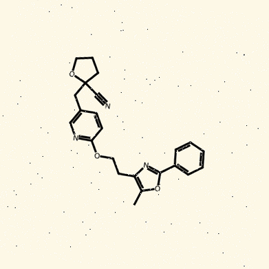 Cc1oc(-c2ccccc2)nc1CCOc1ccc(CC2(C#N)CCCO2)cn1